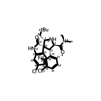 CN(C)C(=O)[C@@H]1N[C@@H](CC(C)(C)C)[C@@]2(C(=O)Nc3cc(Cl)ccc32)[C@H]1c1cccc(Cl)c1F